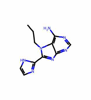 CCCn1c(-c2ncc[nH]2)nc2ncnc(N)c21